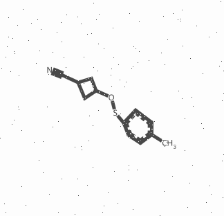 Cc1ccc(SOC2CC(C#N)C2)cc1